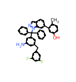 Cc1ccc(O)cc1-c1ccc2cnn(C(c3ccccc3)(c3ccccc3)c3cc(N)cc(Cc4cc(F)cc(F)c4)c3)c2c1